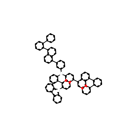 c1ccc(-c2ccccc2-c2cccc3c(-c4ccc(N(c5cccc(-c6cccc7c(-c8ccccc8-c8ccccc8)cccc67)c5)c5ccccc5-c5ccccc5-n5c6ccccc6c6ccccc65)cc4)cccc23)cc1